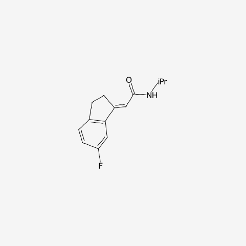 CC(C)NC(=O)C=C1CCc2ccc(F)cc21